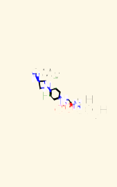 CON=C1CN(c2c(F)cc(N3C[C@@H](N(C)C(=O)O)OC3=O)cc2F)C1